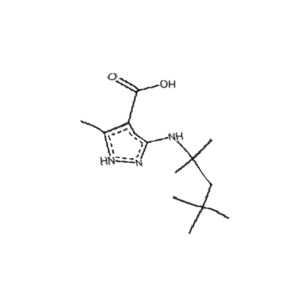 Cc1[nH]nc(NC(C)(C)CC(C)(C)C)c1C(=O)O